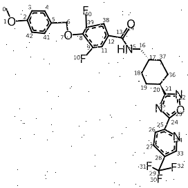 COc1ccc(COc2c(F)cc(C(=O)NC[C@H]3CC[C@H](c4noc(-c5ccc(C(F)(F)F)cn5)n4)CC3)cc2F)cc1